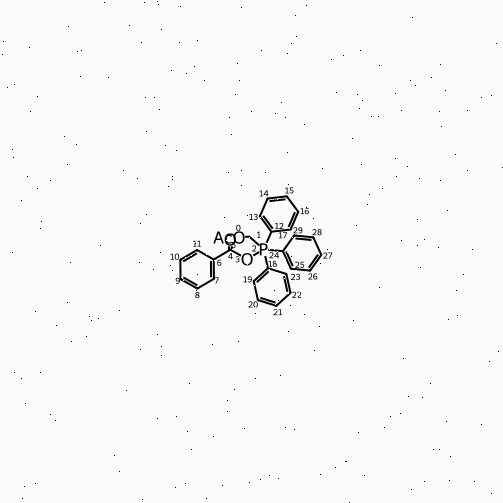 CC(=O)OCP(OC(=O)c1ccccc1)(c1ccccc1)(c1ccccc1)c1ccccc1